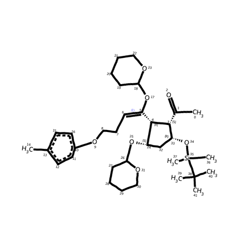 CC(=O)[C@H]1[C@@H](/C(=C\CCOc2ccc(C)cc2)OC2CCCCO2)[C@@H](OC2CCCCO2)C[C@H]1O[Si](C)(C)C(C)(C)C